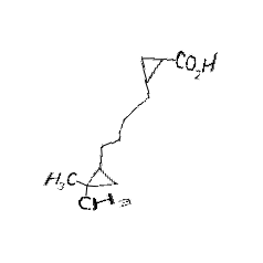 CC1(C)CC1CCCCC1CC1C(=O)O